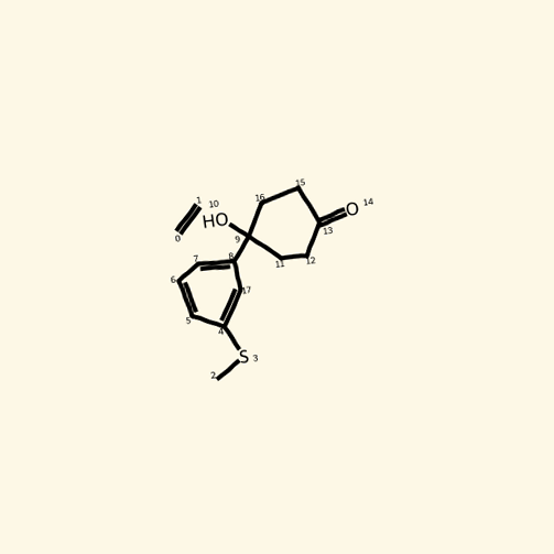 C=C.CSc1cccc(C2(O)CCC(=O)CC2)c1